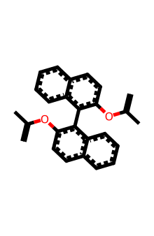 C=C(C)Oc1ccc2ccccc2c1-c1c(OC(=C)C)ccc2ccccc12